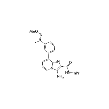 CCCNC(=O)c1nc2c(-c3cccc(/C(C)=N/OC)c3)cccn2c1N